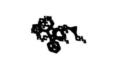 CC1CC1Oc1ccc(CN2C3CC2CN([C@@]2(C)C(c4[nH]ncc4C#N)[C@](C)(C=N)[C@H](C)[C@@H]2C)C3)cn1